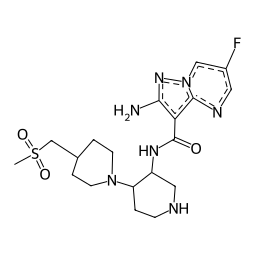 CS(=O)(=O)CC1CCN(C2CCNCC2NC(=O)c2c(N)nn3cc(F)cnc23)CC1